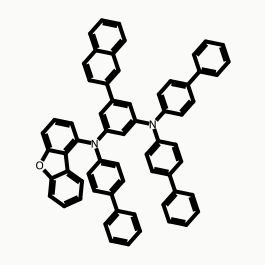 c1ccc(-c2ccc(N(c3ccc(-c4ccccc4)cc3)c3cc(-c4ccc5ccccc5c4)cc(N(c4ccc(-c5ccccc5)cc4)c4cccc5oc6ccccc6c45)c3)cc2)cc1